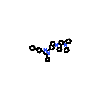 c1ccc(-c2ccc(-c3cc(-c4ccccc4)nc(-c4ccc5c(-n6c7ccccc7c7c6ccc6c8ccccc8n(-c8ccccc8)c67)cccc5c4)n3)cc2)cc1